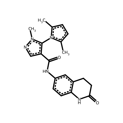 Cc1ccc(C)n1-c1c(C(=O)Nc2ccc3c(c2)CCC(=O)N3)cnn1C